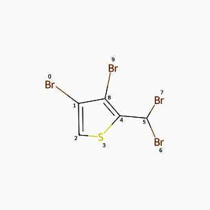 Brc1csc(C(Br)Br)c1Br